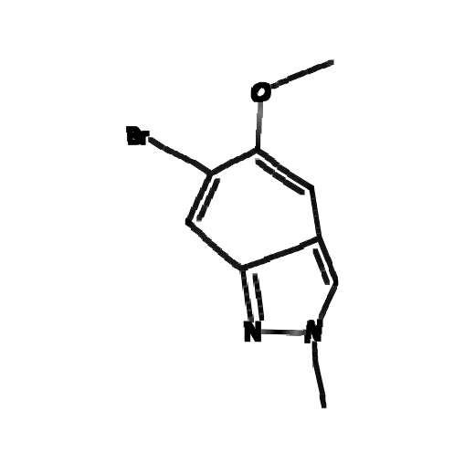 COc1cc2cn(C)nc2cc1Br